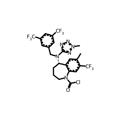 Cc1cc2c(cc1C(F)(F)F)N(C(=O)Cl)CCC[C@@H]2N(Cc1cc(C(F)(F)F)cc(C(F)(F)F)c1)c1nnn(C)n1